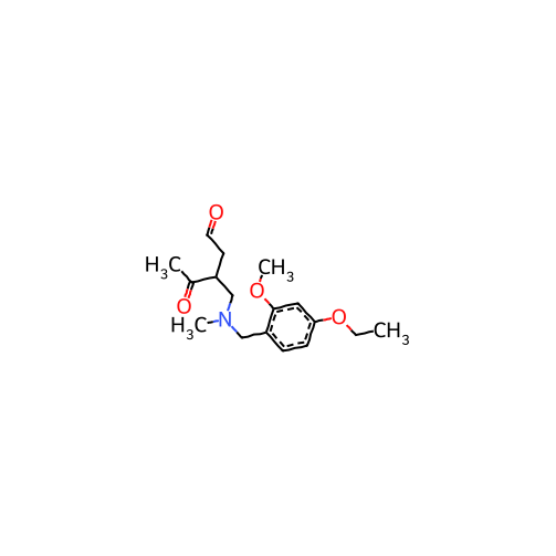 CCOc1ccc(CN(C)CC(CC=O)C(C)=O)c(OC)c1